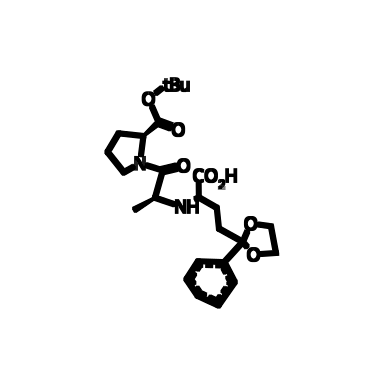 C[C@H](NC(CCC1(c2ccccc2)OCCO1)C(=O)O)C(=O)N1CCC[C@H]1C(=O)OC(C)(C)C